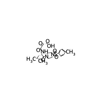 Cc1ccc(S(=O)(=O)N2CCN(C(=O)[C@H](CC(C)C)NC(=O)[C@H]3O[C@@H]3C(=O)O)CC2)cc1